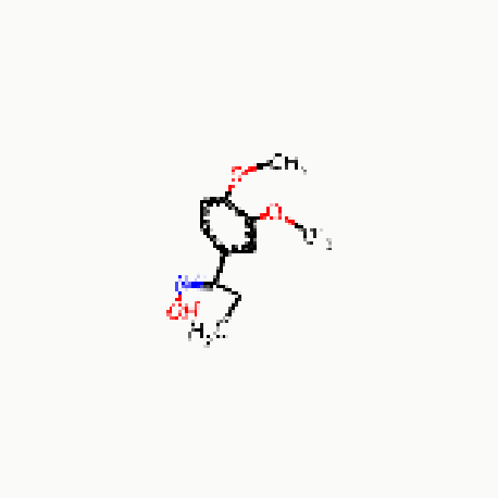 CC/C(=N\O)c1ccc(OC)c(OC)c1